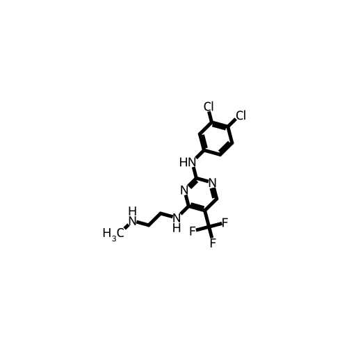 CNCCNc1nc(Nc2ccc(Cl)c(Cl)c2)ncc1C(F)(F)F